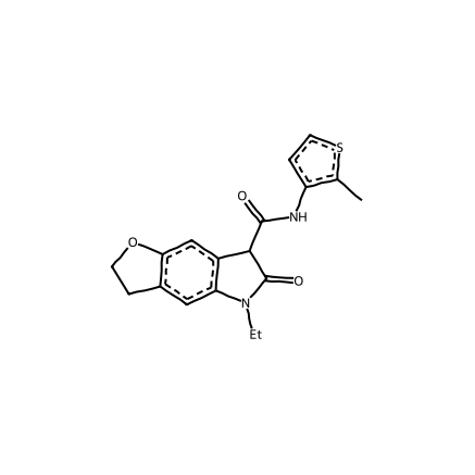 CCN1C(=O)C(C(=O)Nc2ccsc2C)c2cc3c(cc21)CCO3